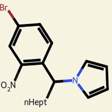 CCCCCCCC(c1ccc(Br)cc1[N+](=O)[O-])n1cccc1